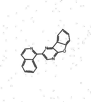 c1ccc2c(-c3cnc4oc5ccccc5c4n3)nccc2c1